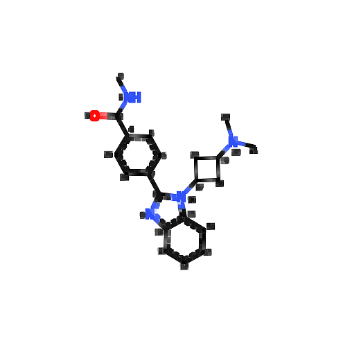 CNC(=O)c1ccc(-c2nc3ccccc3n2C2CC(N(C)C)C2)cc1